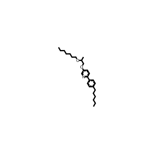 CCCCCCCOC(C)COc1ccc(-c2ccc(CCCCCC)cc2)nc1